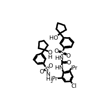 CC(C)c1cc(Cl)cc(C(C)C)c1NC(=O)NS(=O)(=O)c1cccc(C2(O)CCCC2)c1.NS(=O)(=O)c1cccc(C2(O)CCCC2)c1